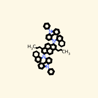 CCCc1cc(N(c2cccc3c2CCCC3)c2cccc3c2c2ccccc2n3-c2ccccc2)c2ccc3c(CCC)cc(N(c4cccc5c4CCCC5)c4cccc5c4c4ccccc4n5-c4ccccc4)c4ccc1c2c34